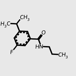 CCCNC(=O)c1cc(F)cc(C(C)C)c1